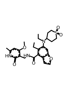 CCc1c(N(CC)C2CCS(=O)(=O)CC2)cc2occc2c1C(=O)NCc1c(OC)cc(C)[nH]c1=O